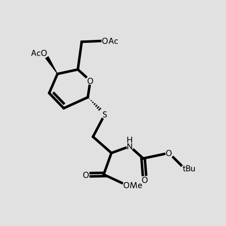 COC(=O)C(CS[C@@H]1C=C[C@@H](OC(C)=O)C(COC(C)=O)O1)NC(=O)OC(C)(C)C